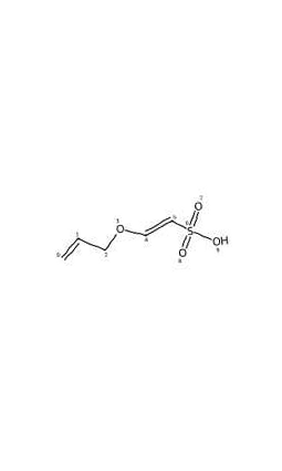 C=CCOC=CS(=O)(=O)O